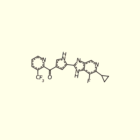 O=C(c1c[nH]c(-c2nc3cnc(C4CC4)c(F)c3[nH]2)c1)c1ncccc1C(F)(F)F